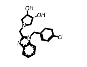 O[C@@H]1CN(Cc2nc3ccccc3n2CC2=CC=C(Cl)CC2)C[C@H]1O